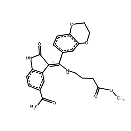 COC(=O)CCCN/C(=C1/C(=O)Nc2ccc(C(C)=O)cc21)c1ccc2c(c1)OCCO2